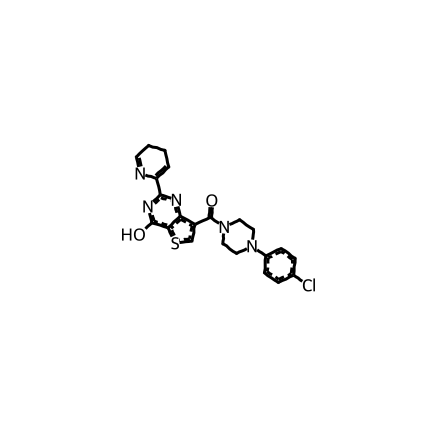 O=C(c1csc2c(O)nc(C3=CCCC=N3)nc12)N1CCN(c2ccc(Cl)cc2)CC1